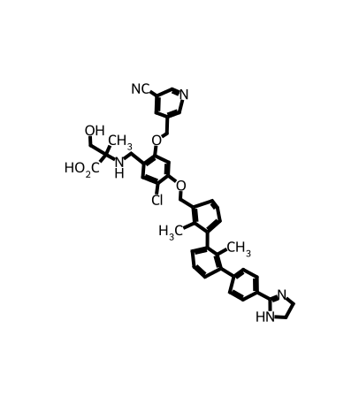 Cc1c(COc2cc(OCc3cncc(C#N)c3)c(CNC(C)(CO)C(=O)O)cc2Cl)cccc1-c1cccc(-c2ccc(C3=NCCN3)cc2)c1C